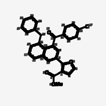 COC(=O)c1ccoc1-c1cc(C(=O)c2ccc(Cl)cc2)c2c(Cc3ccccc3)cccc2c1